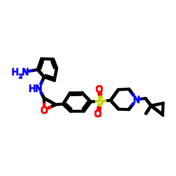 CC1(CN2CCC(S(=O)(=O)c3ccc(C4OC4Nc4ccccc4N)cc3)CC2)CC1